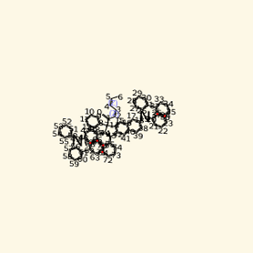 C=C(/C=C\C=C/C)C1(c2ccccc2)c2cc3cc(N(c4ccccc4)c4ccccc4-c4ccccc4)ccc3cc2-c2c1c1ccc(N(c3ccccc3)c3ccccc3-c3ccccc3)cc1c1ccccc21